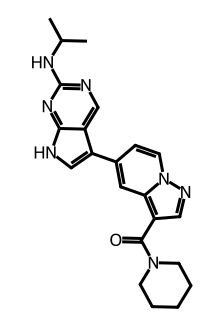 CC(C)Nc1ncc2c(-c3ccn4ncc(C(=O)N5CCCCC5)c4c3)c[nH]c2n1